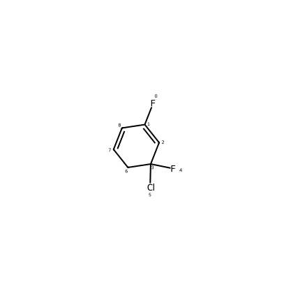 FC1=CC(F)(Cl)CC=C1